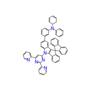 C1=CCC(N(c2ccccc2)c2cccc(-c3ccc4c(c3)c3c(n4-c4cc(-c5ccccn5)nc(-c5ccccn5)n4)-c4ccccc4C34c3ccccc3-c3ccccc34)c2)C=C1